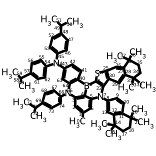 Cc1cc2c3c(c1)N(c1ccc4c(c1)C(C)(C)CCC4(C)C)c1c(sc4cc5c(cc14)C(C)(C)CCC5(C)C)B3c1ccc(N(c3ccc(C(C)C)cc3)c3ccc(C(C)C)cc3)cc1N2c1ccc(C(C)C)cc1